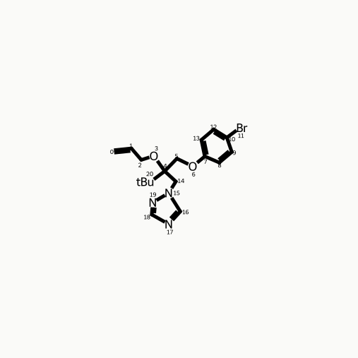 C=CCOC(COc1ccc(Br)cc1)(Cn1cncn1)C(C)(C)C